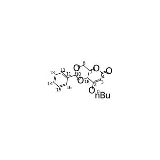 CCCCOC1=CC(=O)OC2COC(c3ccccc3)OC12